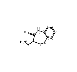 NCC1CSc2ccccc2NC1=O